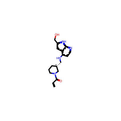 C=CC(=O)N1CCC[C@H](CNc2ccnc3[nH]c(CO)cc23)C1